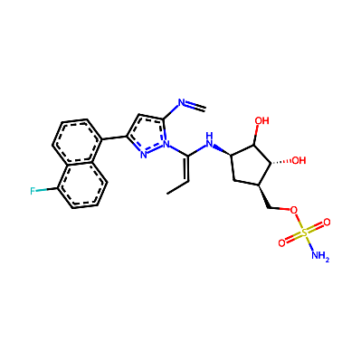 C=Nc1cc(-c2cccc3c(F)cccc23)nn1/C(=C\C)N[C@@H]1C[C@H](COS(N)(=O)=O)[C@@H](O)C1O